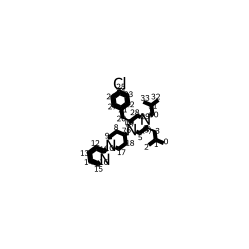 CC(C)C[C@H]1CN(C2CCN(c3ccccn3)CC2)[C@@H](Cc2ccc(Cl)cc2)CN1CC(C)C